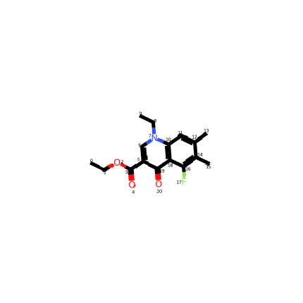 CCOC(=O)c1cn(CC)c2cc(C)c(C)c(F)c2c1=O